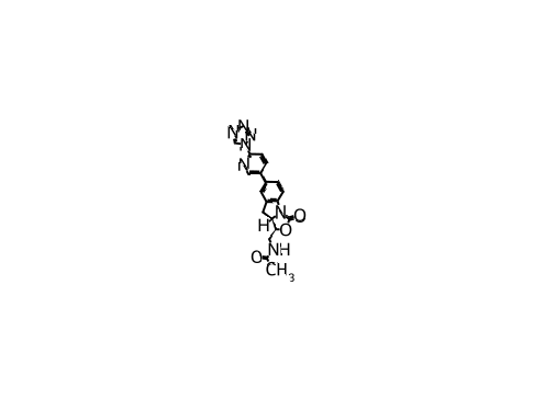 CC(=O)NC[C@@H]1OC(=O)N2c3ccc(-c4ccc(-n5cnnn5)nc4)cc3C[C@@H]12